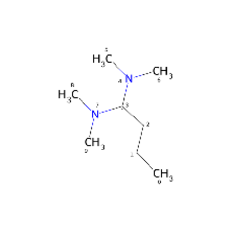 CCC[C](N(C)C)N(C)C